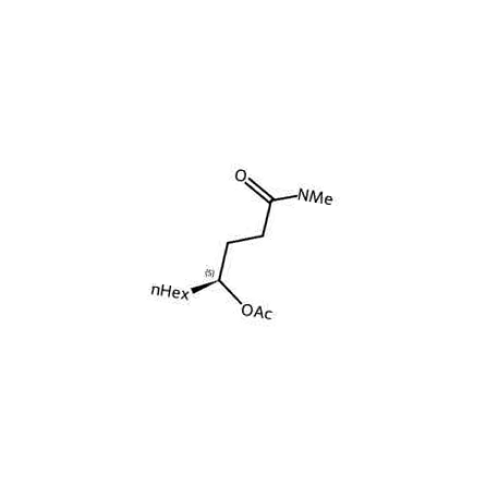 CCCCCC[C@@H](CCC(=O)NC)OC(C)=O